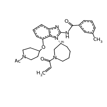 C=CC(=O)N1CCCC[C@@H](n2c(NC(=O)c3cccc(C)c3)nc3cccc(OC4CCN(C(C)=O)CC4)c32)C1